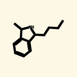 CCCCC1NC(C)c2ccccc21